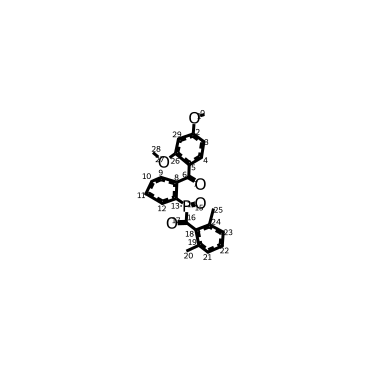 COc1ccc(C(=O)c2ccccc2[P](=O)C(=O)c2c(C)cccc2C)c(OC)c1